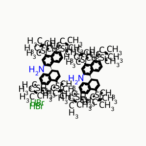 Br.Br.CC(C)(C)[Si](C)(C)C1=CC[C@@H](c2c(N)cc([Si](C)(C)C(C)(C)C)c3cc([Si](C)(C)C(C)(C)C)ccc23)c2ccc([Si](C)(C)C(C)(C)C)cc21.CC(C)(C)[Si](C)(C)C1=CC[C@@H](c2c(N)cc([Si](C)(C)C(C)(C)C)c3cc([Si](C)(C)C(C)(C)C)ccc23)c2ccc([Si](C)(C)C(C)(C)C)cc21